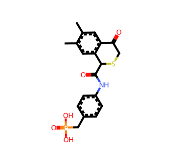 Cc1cc2c(cc1C)C(C(=O)Nc1ccc(CP(=O)(O)O)cc1)SCC2=O